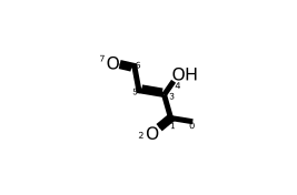 CC(=O)/C(O)=C/C=O